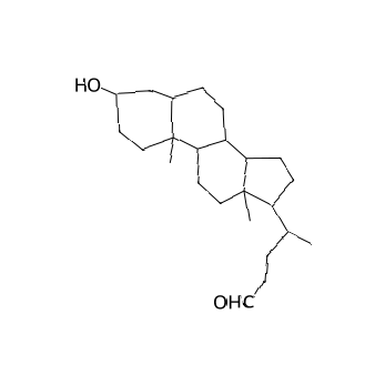 CC(CCC=O)C1CCC2C3CCC4CC(O)CCC4(C)C3CCC12C